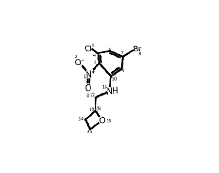 O=[N+]([O-])c1c(Cl)cc(Br)cc1NC[C@@H]1CCO1